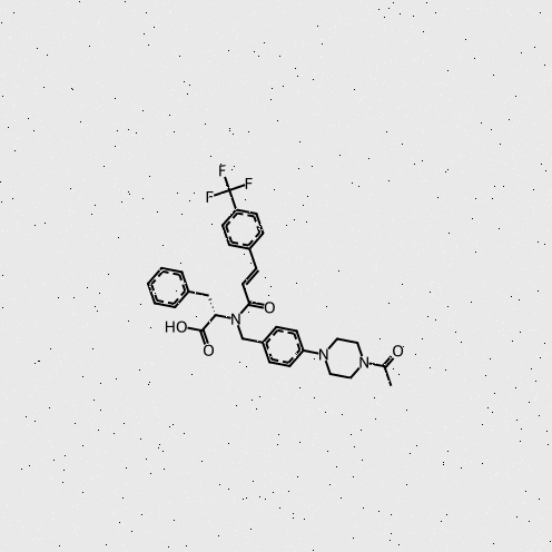 CC(=O)N1CCN(c2ccc(CN(C(=O)/C=C/c3ccc(C(F)(F)F)cc3)[C@@H](Cc3ccccc3)C(=O)O)cc2)CC1